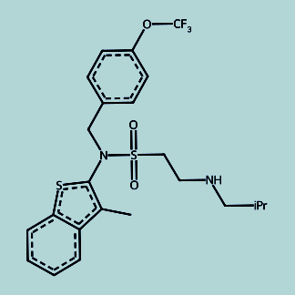 Cc1c(N(Cc2ccc(OC(F)(F)F)cc2)S(=O)(=O)CCNCC(C)C)sc2ccccc12